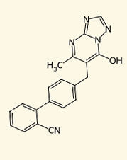 Cc1nc2ncnn2c(O)c1Cc1ccc(-c2ccccc2C#N)cc1